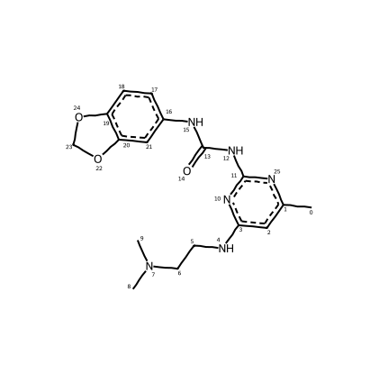 Cc1cc(NCCN(C)C)nc(NC(=O)Nc2ccc3c(c2)OCO3)n1